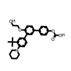 CC(C)(C)c1cc(-c2cc(-c3ccc(OC(=O)O)cc3)ccc2OCCO)ccc1N1CCCCC1